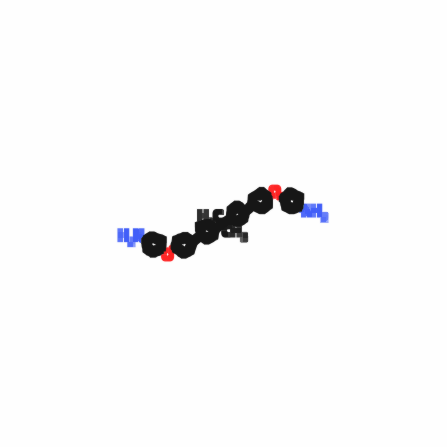 CC(C)(c1ccc(-c2ccc(Oc3ccc(N)cc3)cc2)cc1)c1ccc(-c2ccc(Oc3ccc(N)cc3)cc2)cc1